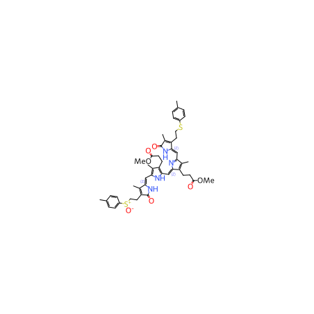 COC(=O)CCC1=C(C)C(/C=C2\NC(=O)C(C)=C2CCSc2ccc(C)cc2)=NC/1=C\c1[nH]c(/C=C2\NC(=O)C(CC[S+]([O-])c3ccc(C)cc3)=C2C)c(C)c1CCC(=O)OC